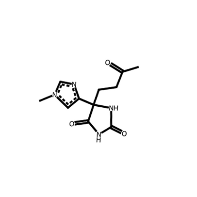 CC(=O)CCC1(c2cn(C)cn2)NC(=O)NC1=O